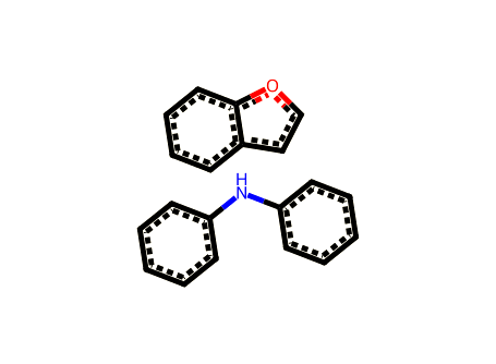 c1ccc(Nc2ccccc2)cc1.c1ccc2occc2c1